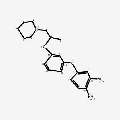 CC(CN1CCCCC1)Oc1cccc(Sc2ccc(N)c(N)c2)c1